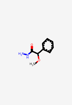 NNC(=O)C(O[SiH3])c1ccccc1